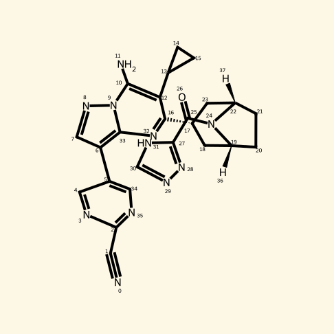 N#Cc1ncc(-c2cnn3c(N)c(C4CC4)c([C@H]4C[C@H]5CC[C@@H](C4)N5C(=O)c4nnc[nH]4)nc23)cn1